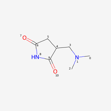 CN(C)CC1CC(=O)NC1=O